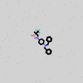 CC(O)(CN[C@H]1CC[C@H](N(Cc2ccccc2)Cc2ccccc2)CC1)C(F)(F)F